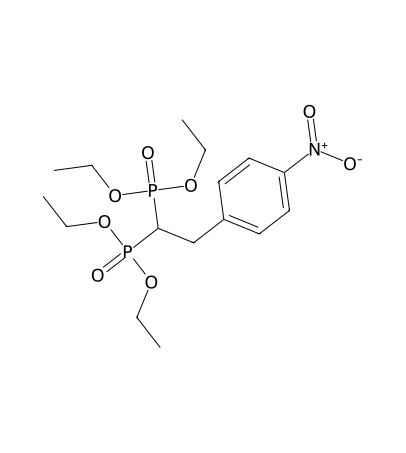 CCOP(=O)(OCC)C(Cc1ccc([N+](=O)[O-])cc1)P(=O)(OCC)OCC